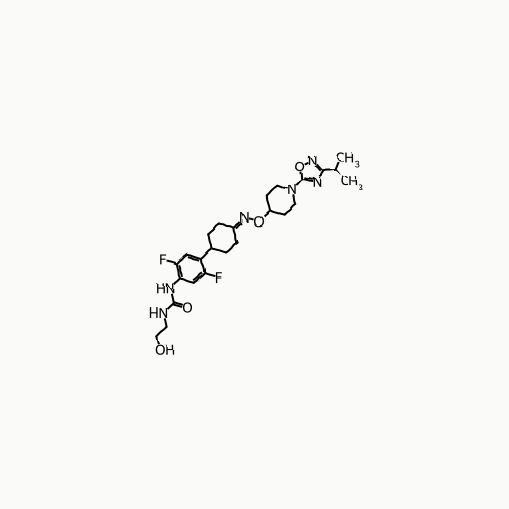 CC(C)c1noc(N2CCC(ON=C3CCC(c4cc(F)c(NC(=O)NCCO)cc4F)CC3)CC2)n1